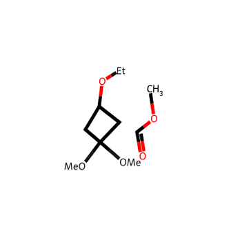 CCOC1CC(OC)(OC)C1.COC=O